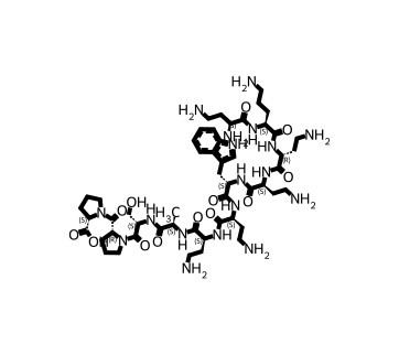 C[C@H](NC(=O)[C@H](CCN)NC(=O)[C@H](CCN)NC(=O)[C@H](Cc1c[nH]c2ccccc12)NC(=O)[C@H](CCN)NC(=O)[C@@H](CCN)NC(=O)[C@H](CCCN)NC(=O)[C@@H](N)CCN)C(=O)N[C@@H](CO)C(=O)N1CCC[C@@H]1C(=O)N1CCC[C@H]1C(=O)O